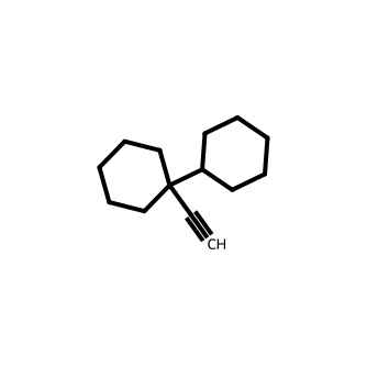 C#CC1(C2CCCCC2)CCCCC1